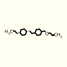 C=CCOCC1CCC(CC[C@H]2CC[C@H](CCC)CC2)CC1